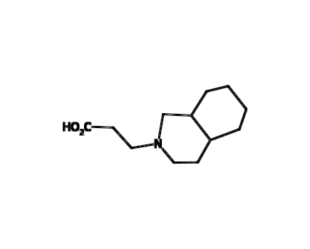 O=C(O)CCN1CCC2CCCCC2C1